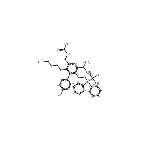 CCCCCc1c(COC(C)=O)nc(C(C)C)c(CO[Si](c2ccccc2)(c2ccccc2)C(C)(C)C)c1-c1ccc(F)cc1